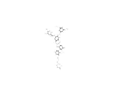 Cc1c(OCCCN2CCC(F)CC2)cccc1-c1cc(F)cc2c1CCC2Oc1cc(OCc2cc(C#N)cc(C#N)c2)c(CN[C@H]2CCC(=O)NC2)cc1Cl